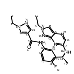 CCn1cc(C(=O)Nc2ccc(F)c([C@H](C)Nc3cnc4cn(CC)nc4n3)c2)cn1